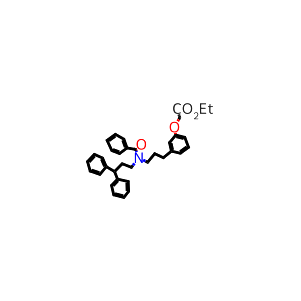 CCOC(=O)COc1cccc(CCCN(CCC(c2ccccc2)c2ccccc2)C(=O)c2ccccc2)c1